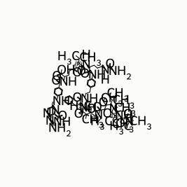 CCC(C)C(C(CC(=O)N1CCCC1C(OC)C(C)C(=O)N[C@@H](Cc1ccccc1)C(=O)NCCc1ccc(NC(=O)C(CCCNC(N)=O)NC(=O)[C@H](CC(=O)CCC(NC(=O)c2ccc(NCc3cnc4nc(N)[nH]c(=O)c4n3)cc2)C(=O)O)C(C)C)cc1)OC)N(C)C(=O)[C@@H](NC(=O)C(=O)N(C)C)C(C)C